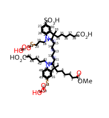 COC(=O)CCCCCC1(C)C(/C=C/C=C/C=C2\N(CCCSOOO)c3ccc(S(=O)(=O)O)cc3C2(C)CCCCCC(=O)O)=[N+](CCCCCC(=O)O)c2ccc(SOOO)cc21